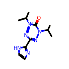 CC(C)n1nc(-c2ncc[nH]2)n[n+](C(C)C)c1=O